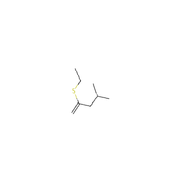 C=C(CC(C)C)SCC